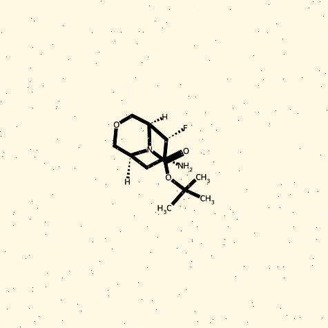 CC(C)(C)OC(=O)N1[C@@H]2COC[C@H]1[C@H](F)[C@H](N)C2